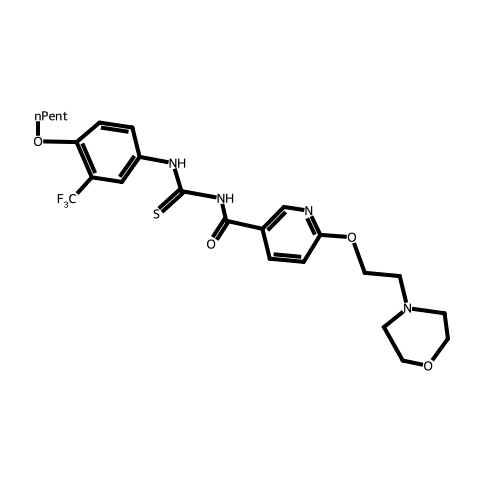 CCCCCOc1ccc(NC(=S)NC(=O)c2ccc(OCCN3CCOCC3)nc2)cc1C(F)(F)F